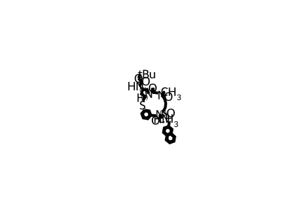 CN1CC(=O)N2C[C@H](NC(=O)OC(C)(C)C)C[C@H]2CSc2cccc(c2)C(=O)N(C)[C@H](C(=O)NCc2ccc3ccccc3c2)CCC1=O